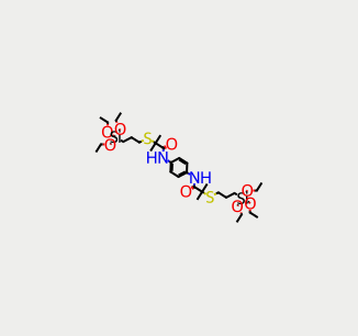 CCO[Si](CCCSC(C)(C)C(=O)Nc1ccc(NC(=O)C(C)(C)SCCC[Si](OCC)(OCC)OCC)cc1)(OCC)OCC